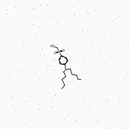 CCCCCN(CCCCC)c1ccc(S(=O)(=O)CO)cc1